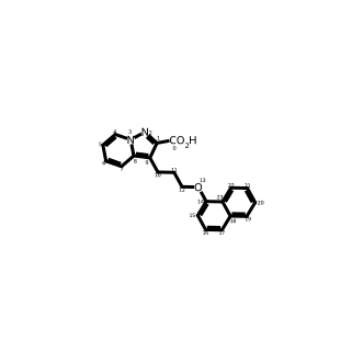 O=C(O)c1nn2ccccc2c1CCCOc1cccc2ccccc12